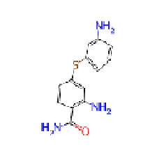 NC(=O)c1ccc(Sc2cccc(N)c2)cc1N